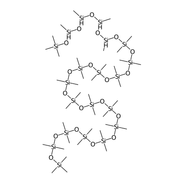 C[SiH](O[SiH](C)O[SiH](C)O[Si](C)(C)O[Si](C)(C)O[Si](C)(C)O[Si](C)(C)O[Si](C)(C)O[Si](C)(C)O[Si](C)(C)O[Si](C)(C)O[Si](C)(C)O[Si](C)(C)O[Si](C)(C)O[Si](C)(C)O[Si](C)(C)O[Si](C)(C)O[Si](C)(C)C)O[SiH](C)O[Si](C)(C)C